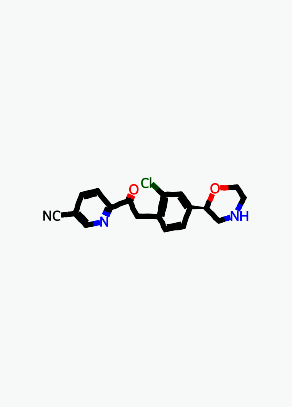 N#Cc1ccc(C(=O)Cc2ccc([C@@H]3CNCCO3)cc2Cl)nc1